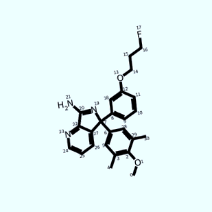 COc1c(C)cc(C2(c3cccc(OCCCF)c3)N=C(N)c3ncccc32)cc1C